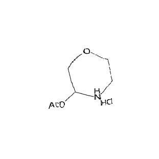 CC(=O)OC1COCCN1.Cl